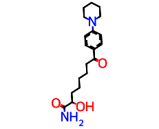 NC(=O)C(O)CCCCCC(=O)c1ccc(N2CCCCC2)cc1